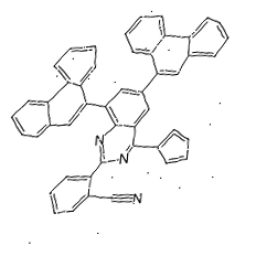 N#Cc1ccccc1-c1nc(C2=C=CC=C2)c2cc(-c3cc4ccccc4c4ccccc34)cc(-c3cc4ccccc4c4ccccc34)c2n1